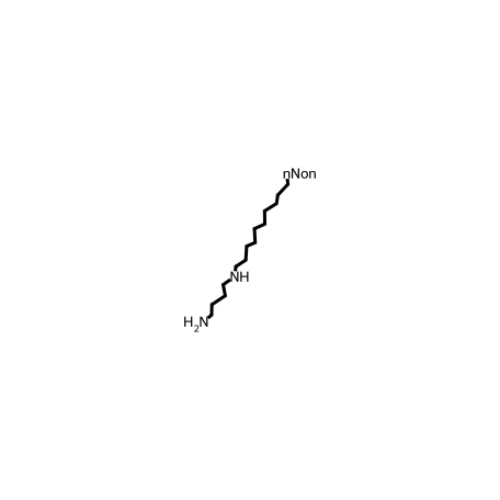 CCCCCCCCCCCCCCCCCCCNCCCCN